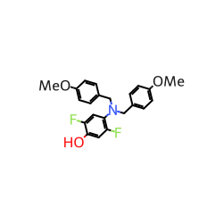 COc1ccc(CN(Cc2ccc(OC)cc2)c2cc(F)c(O)cc2F)cc1